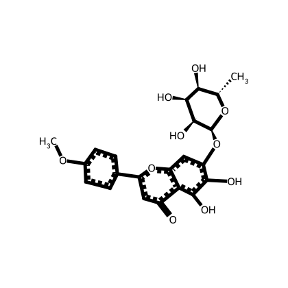 COc1ccc(-c2cc(=O)c3c(O)c(O)c(O[C@@H]4O[C@@H](C)[C@H](O)[C@H](O)[C@@H]4O)cc3o2)cc1